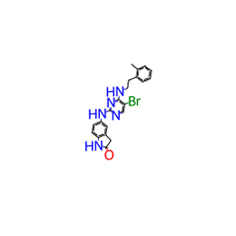 Cc1ccccc1CCNc1nc(Nc2ccc3c(c2)CC(=O)N3)ncc1Br